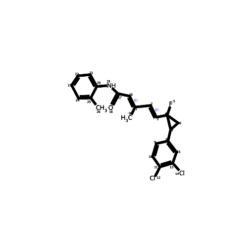 CC(/C=C/C1(F)CC1c1ccc(Cl)c(Cl)c1)=C\C(=O)Nc1ccccc1C